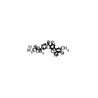 Cn1cc(-c2cc(Cl)c(C(=O)N3CCN(C(=O)OC(C)(C)C)CC3)cc2Cl)c2c(c1=O)CN=C2